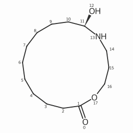 O=C1CCCCCCCCC[C@@H](O)NCCCO1